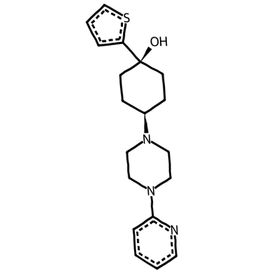 O[C@]1(c2cccs2)CC[C@H](N2CCN(c3ccccn3)CC2)CC1